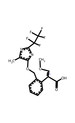 CO/C=C(/C(=O)O)c1ccccc1COc1nc(C(F)(F)C(F)(F)F)sc1C